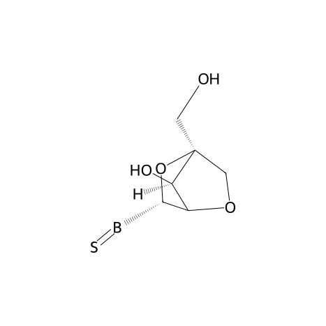 OC[C@@]12COC([C@H](B=S)O1)[C@H]2O